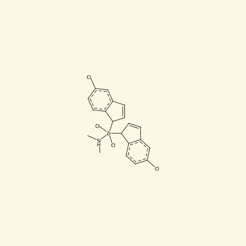 C[SiH](C)[Zr]([Cl])([Cl])([CH]1C=Cc2cc(Cl)ccc21)[CH]1C=Cc2cc(Cl)ccc21